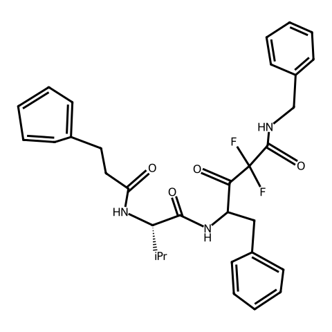 CC(C)[C@H](NC(=O)CCc1ccccc1)C(=O)NC(Cc1ccccc1)C(=O)C(F)(F)C(=O)NCc1ccccc1